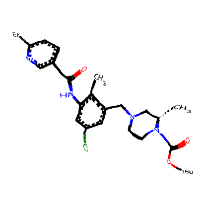 CCc1ccc(C(=O)Nc2cc(Cl)cc(CN3CCN(C(=O)OC(C)(C)C)[C@@H](C)C3)c2C)cn1